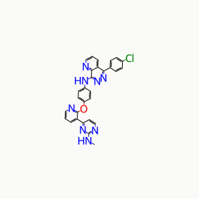 CNc1nccc(-c2cccnc2Oc2ccc(Nc3nnc(-c4ccc(Cl)cc4)c4cccnc34)cc2)n1